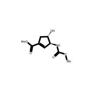 COC(=O)C1=C[C@H](NC(=O)OC(C)(C)C)[C@@H](O)C1